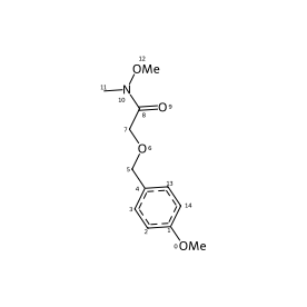 COc1ccc(COCC(=O)N(C)OC)cc1